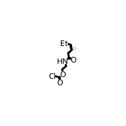 CC/C=C\CC(=O)NCCOC(=O)Cl